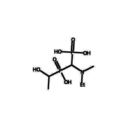 CCN(C)C(P(=O)(O)O)P(=O)(O)C(C)O